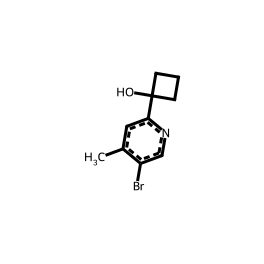 Cc1cc(C2(O)CCC2)ncc1Br